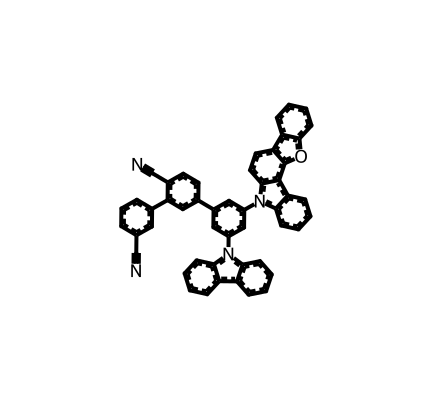 N#Cc1cccc(-c2cc(-c3cc(-n4c5ccccc5c5ccccc54)cc(-n4c5ccccc5c5c6oc7ccccc7c6ccc54)c3)ccc2C#N)c1